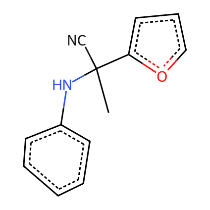 CC(C#N)(Nc1ccccc1)c1ccco1